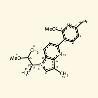 COc1nc(C(C)C)ccc1-c1ccc2c(n1)c(C)cn2[C@@H](C)C(C)OC